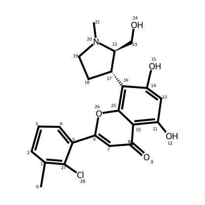 Cc1cccc(-c2cc(=O)c3c(O)cc(O)c([C@@H]4CCN(C)[C@H]4CO)c3o2)c1Cl